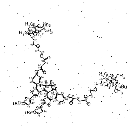 CCCC[Si](C)(C)O[Si](C)(C)O[Si](C)(C)CCCOCCOC(=O)CCC(=O)Oc1ccc(-c2sc(-c3ccc(C(C)(C)C)s3)cc2C2=C(c3cc(-c4ccc(C(C)(C)C)s4)sc3-c3ccc(OC(=O)CCC(=O)OCCOCCC[Si](C)(C)O[Si](C)(C)O[Si](C)(C)CCCC)cc3)C(F)(F)C(F)(F)C2(F)F)cc1